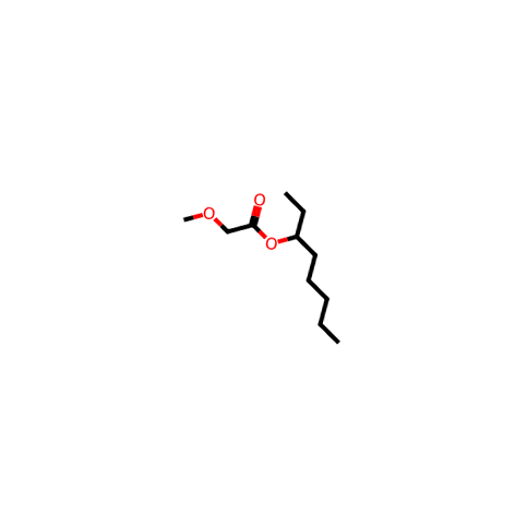 CCCCCC(CC)OC(=O)COC